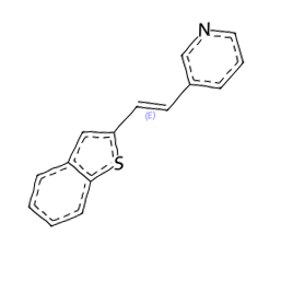 C(=C\c1cc2ccccc2s1)/c1cccnc1